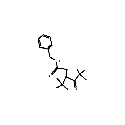 CC(C)(C)C(=O)C(CC(=O)NCc1ccccc1)C(C)(C)C